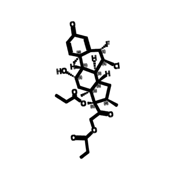 CCC(=O)OCC(=O)[C@]1(OC(=O)CC)[C@H](C)C[C@H]2[C@@H]3[C@H](Cl)[C@@H](F)C4=CC(=O)C=C[C@]4(C)[C@H]3[C@@H](O)C[C@@]21C